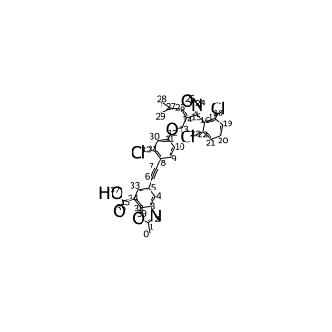 Cc1nc2cc(C#Cc3ccc(OCc4c(-c5c(Cl)cccc5Cl)noc4C4CC4)cc3Cl)cc(C(=O)O)c2o1